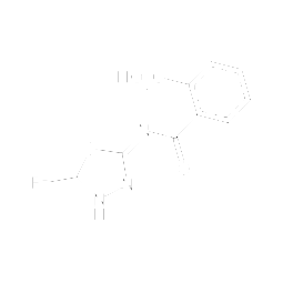 CCC1N[N]C(=NC(=O)c2ccccc2C(=O)O)O1